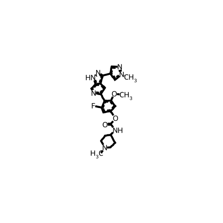 COc1cc(OC(=O)NC2CCN(C)CC2)cc(F)c1-c1cc2c(-c3cnn(C)c3)n[nH]c2cn1